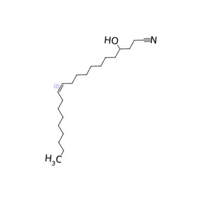 CCCCCCCC/C=C\CCCCCCCC(O)CCC#N